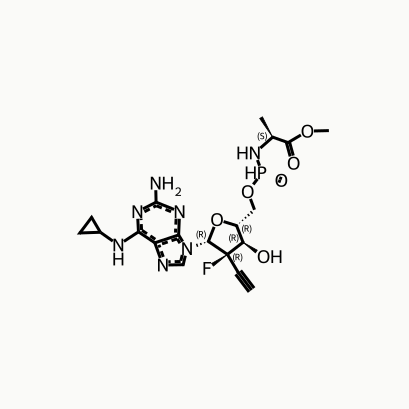 C#C[C@@]1(F)[C@H](O)[C@@H](CO[PH](=O)N[C@@H](C)C(=O)OC)O[C@H]1n1cnc2c(NC3CC3)nc(N)nc21